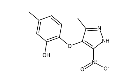 Cc1ccc(Oc2c(C)n[nH]c2[N+](=O)[O-])c(O)c1